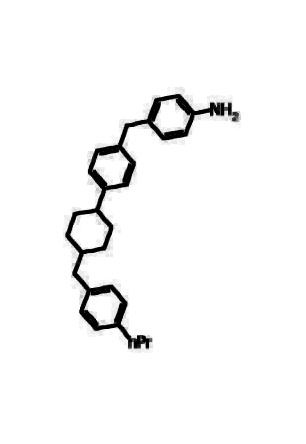 CCCc1ccc(CC2CCC(c3ccc(Cc4ccc(N)cc4)cc3)CC2)cc1